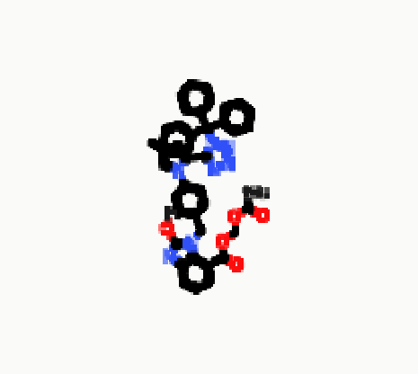 CCOc1nc2cccc(C(=O)OCOC(=O)C(C)(C)C)c2n1Cc1ccc(-n2cc(C)cc2-c2nnnn2C(c2ccccc2)(c2ccccc2)c2ccccc2)cc1